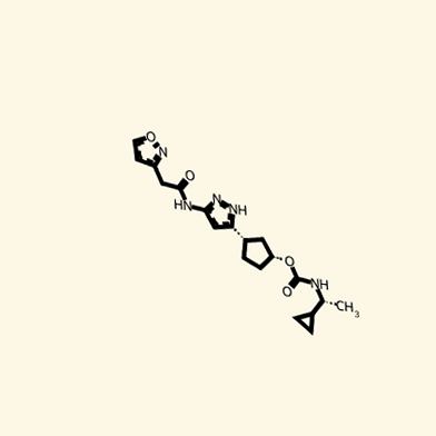 C[C@@H](NC(=O)O[C@@H]1CC[C@H](c2cc(NC(=O)Cc3ccon3)n[nH]2)C1)C1CC1